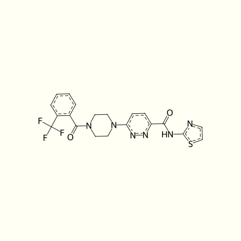 O=C(Nc1nccs1)c1ccc(N2CCN(C(=O)c3ccccc3C(F)(F)F)CC2)nn1